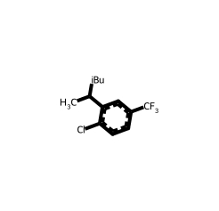 CCC(C)C(C)c1cc(C(F)(F)F)ccc1Cl